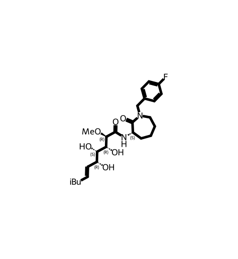 CCC(C)C=C[C@@H](O)[C@H](O)[C@@H](O)[C@@H](OC)C(=O)N[C@H]1CCCCN(Cc2ccc(F)cc2)C1=O